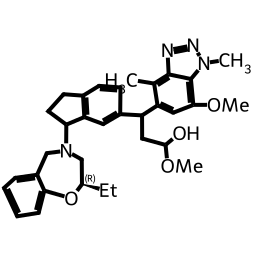 CC[C@@H]1CN(C2CCc3ccc(C(CC(O)OC)c4cc(OC)c5c(nnn5C)c4C)cc32)Cc2ccccc2O1